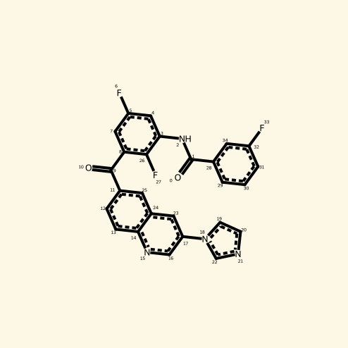 O=C(Nc1cc(F)cc(C(=O)c2ccc3ncc(-n4ccnc4)cc3c2)c1F)c1cccc(F)c1